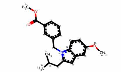 COC(=O)c1cccc(Cn2c(CC(C)C)cc3cc(OC)ccc32)c1